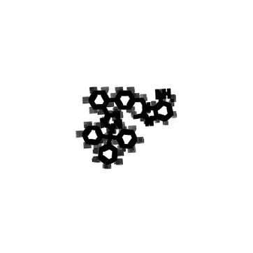 Cc1nc2cccc(N)c2n1Cc1ccc(-c2ccccc2-c2nnn(C(c3ccccc3)(c3ccccc3)c3ccccc3)n2)cc1